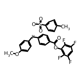 COc1ccc([I+]c2ccc(C(=O)Oc3c(F)c(F)cc(F)c3F)cc2)cc1.Cc1ccc(S(=O)(=O)[O-])cc1